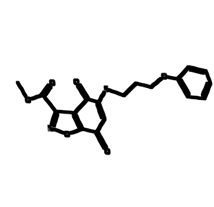 COC(=O)c1noc2c1C(=O)C(SCCCOc1ccccc1)=CC2=O